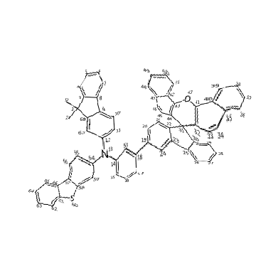 CC1(C)c2ccccc2-c2ccc(N(c3cccc(-c4ccc5c(c4)-c4ccccc4C54c5ccc6ccccc6c5Oc5c4ccc4ccccc54)c3)c3ccc4c(c3)sc3ccccc34)cc21